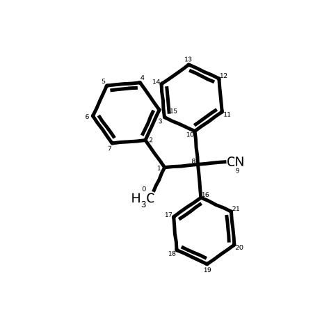 CC(c1ccccc1)C(C#N)(c1ccccc1)c1ccccc1